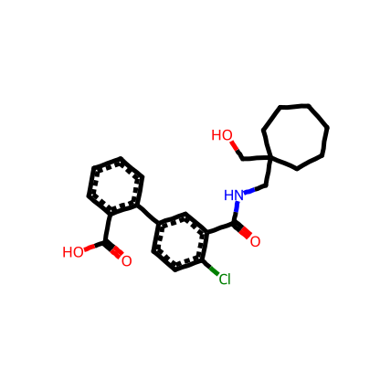 O=C(NCC1(CO)CCCCCC1)c1cc(-c2ccccc2C(=O)O)ccc1Cl